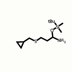 CC(C)(C)[Si](C)(C)OC(N)CCSCC1CC1